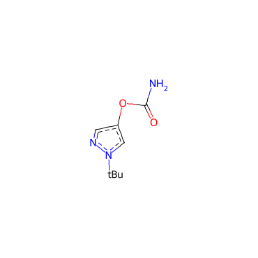 CC(C)(C)n1cc(OC(N)=O)cn1